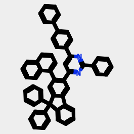 c1ccc(-c2ccc(-c3cc(-c4cc5c(cc4-c4cccc6ccccc46)C(c4ccccc4)(c4ccccc4)c4ccccc4-5)nc(-c4ccccc4)n3)cc2)cc1